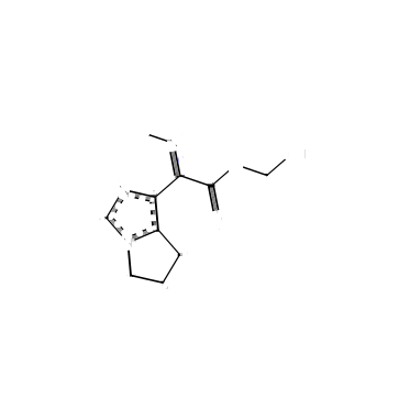 CCOC(=O)/C(=N/C)c1ncn2c1CCC2